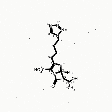 C[C@@H](O)[C@H]1C(=O)N2C(C(=O)O)=C(CCCCn3cnnn3)S[C@H]12